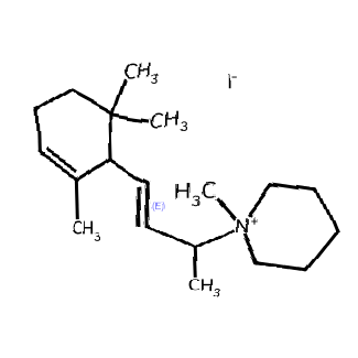 CC1=CCCC(C)(C)C1/C=C/C(C)[N+]1(C)CCCCC1.[I-]